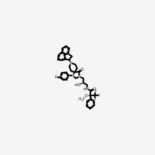 CO[C@@](C(=O)NC[C@@H](O)CN1CN(c2ccc(F)cc2)C2(CCN(C3Cc4cccc5cccc3c45)CC2)C1=O)(c1ccccc1)C(F)(F)F